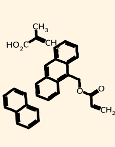 C=C(C)C(=O)O.C=CC(=O)OCc1c2ccccc2cc2ccccc12.c1ccc2ccccc2c1